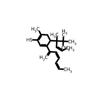 C=C(/C=C\C=C/C)C1=CC(S)=C(C)CC1C(C)(C=CC)C(C)(C)C